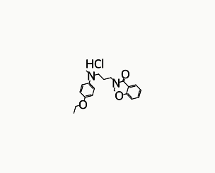 CCOc1ccc(N(C)CCCN2COc3ccccc3C2=O)cc1.Cl